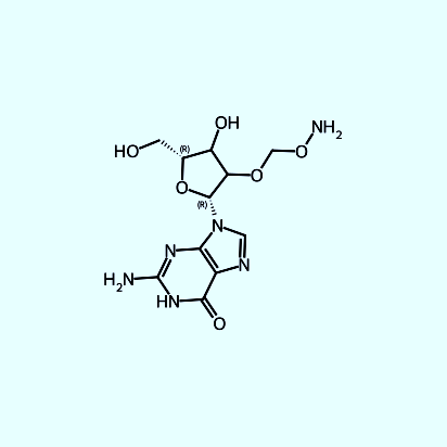 NOCOC1C(O)[C@@H](CO)O[C@H]1n1cnc2c(=O)[nH]c(N)nc21